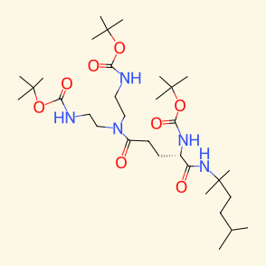 CC(C)CCC(C)(C)NC(=O)[C@H](CCC(=O)N(CCNC(=O)OC(C)(C)C)CCNC(=O)OC(C)(C)C)NC(=O)OC(C)(C)C